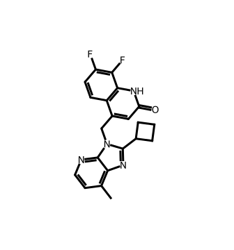 Cc1ccnc2c1nc(C1CCC1)n2Cc1cc(=O)[nH]c2c(F)c(F)ccc12